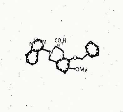 COc1ccc2c(c1OCc1ccccc1)C[C@@H](C(=O)O)N(c1ncnc3ccccc13)C2